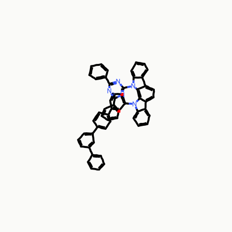 c1ccc(-c2cccc(-c3ccc(-c4cccc(-n5c6ccccc6c6ccc7c8ccccc8n(-c8nc(-c9ccccc9)nc(-c9ccccc9)n8)c7c65)c4)cc3)c2)cc1